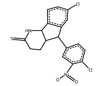 O=[N+]([O-])c1cc(C2c3cc(Cl)ccc3C3NC(=S)CCC32)ccc1Cl